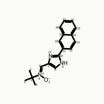 CC(C)(C)/[N+]([O-])=C/c1c[nH]c(-c2ccc3ccccc3c2)n1